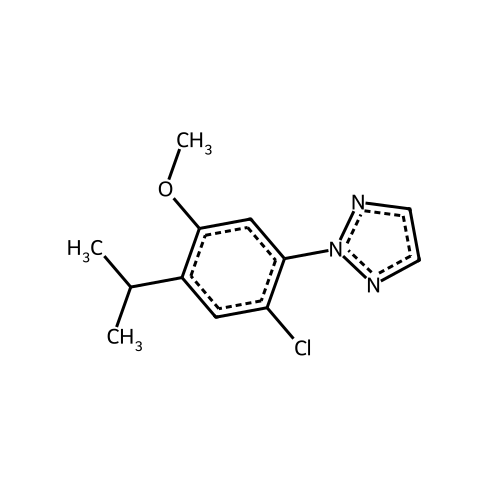 COc1cc(-n2nccn2)c(Cl)cc1C(C)C